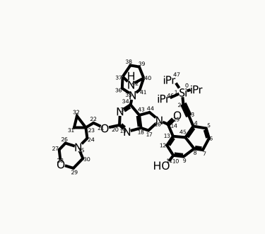 CC(C)[Si](C#Cc1cccc2cc(O)cc(C(=O)N3Cc4nc(OCC5(CN6CCOCC6)CC5)nc(N5CC6CCC(C5)N6)c4C3)c12)(C(C)C)C(C)C